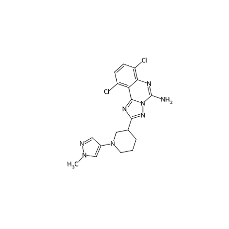 Cn1cc(N2CCCC(c3nc4c5c(Cl)ccc(Cl)c5nc(N)n4n3)C2)cn1